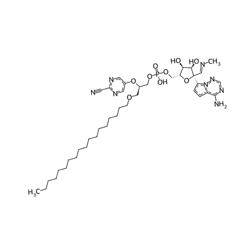 CCCCCCCCCCCCCCCCCCOC[C@H](COP(=O)(O)OC[C@H]1O[C@@](/C=N/C)(c2ccc3c(N)ncnn23)[C@H](O)[C@@H]1O)Oc1cnc(C#N)nc1